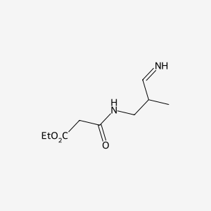 CCOC(=O)CC(=O)NCC(C)C=N